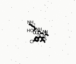 Cc1sc2c(c1C)C(c1ccc(Cl)cc1)=N[C@@H](CC(=O)NC(C/C=C/CN)C(=O)O)c1nnc(C)n1-2